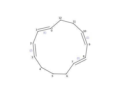 [C]1=C/C=C\CCC/C=C/C=C\CC/1